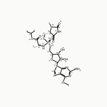 COc1nc(N)nc2c1ncn2C1OC(COP(=O)(N[C@H](C)C(=O)OC(C)C)SC[C@H]2C(=O)NC(=O)N2C)[C@@H](O)[C@H]1O